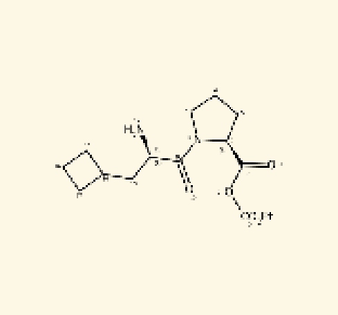 CCOC(=O)OC(=O)[C@@H]1CCCN1C(=O)[C@H](N)CC1CCC1